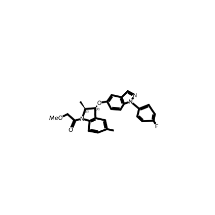 COCC(=O)N1c2ccc(C)cc2[C@@H](Oc2ccc3c(cnn3-c3ccc(F)cc3)c2)[C@@H]1C